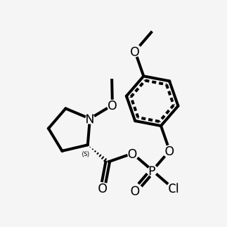 COc1ccc(OP(=O)(Cl)OC(=O)[C@@H]2CCCN2OC)cc1